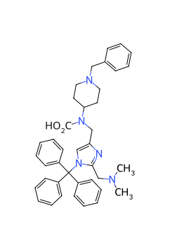 CN(C)Cc1nc(CN(C(=O)O)C2CCN(Cc3ccccc3)CC2)cn1C(c1ccccc1)(c1ccccc1)c1ccccc1